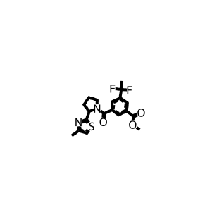 COC(=O)c1cc(C(=O)N2CCCC2c2nc(C)cs2)cc(C(C)(F)F)c1